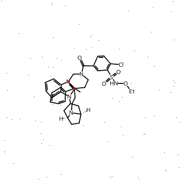 CCONS(=O)(=O)c1cc(C(=O)N2CCC(CCN3[C@@H]4CC[C@H]3CC(n3c(C)nc5ccccc53)C4)(c3ccccc3)CC2)ccc1Cl